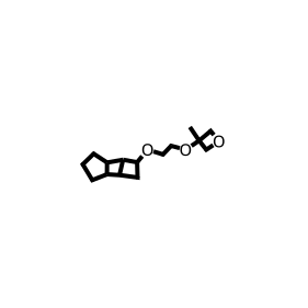 CC1(OCCOC2CC3C4CCCC4C23)COC1